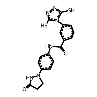 O=C1CCN(c2ccc(NC(=O)c3cccc(-n4c(S)nnc4S)c3)cc2)N1